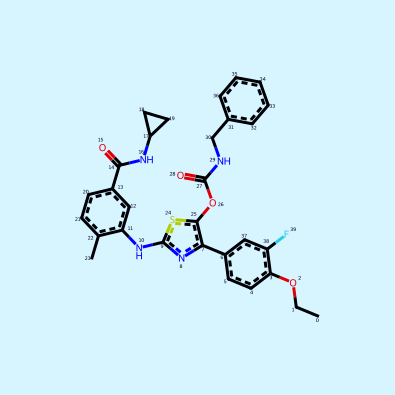 CCOc1ccc(-c2nc(Nc3cc(C(=O)NC4CC4)ccc3C)sc2OC(=O)NCc2ccccc2)cc1F